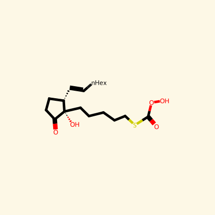 CCCCCCC=C[C@H]1CCC(=O)[C@]1(O)CCCCCSC(=O)OO